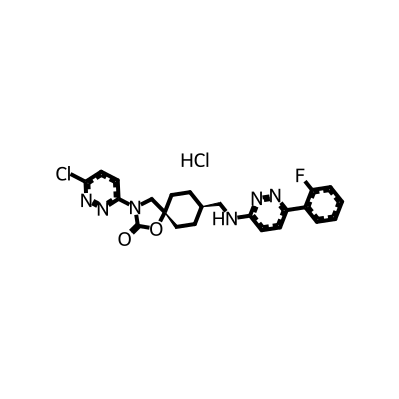 Cl.O=C1O[C@]2(CC[C@H](CNc3ccc(-c4ccccc4F)nn3)CC2)CN1c1ccc(Cl)nn1